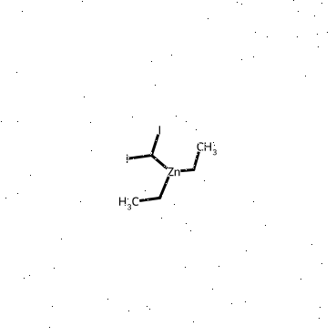 C[CH2][Zn]([CH2]C)[CH](I)I